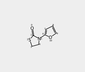 O=C1SCCN1c1ccco1